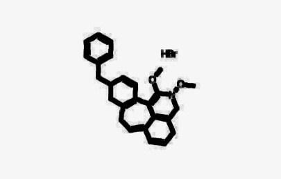 Br.COC1=C2C3=C(CC=C4C=CCC(=C42)CN1OC)CC(Cc1ccccc1)C=C3